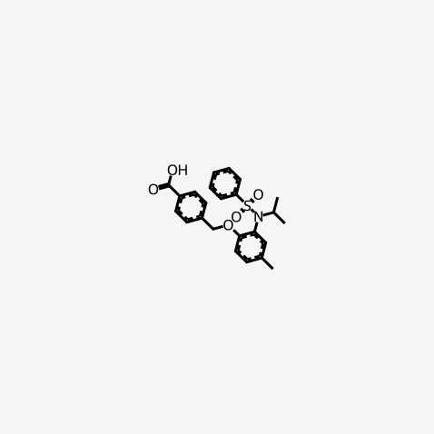 Cc1ccc(OCc2ccc(C(=O)O)cc2)c(N(C(C)C)S(=O)(=O)c2ccccc2)c1